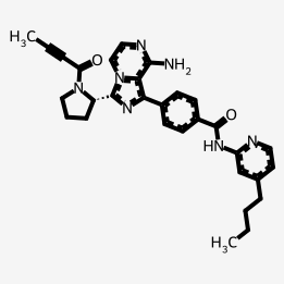 CC#CC(=O)N1CCC[C@H]1c1nc(-c2ccc(C(=O)Nc3cc(CCCC)ccn3)cc2)c2c(N)nccn12